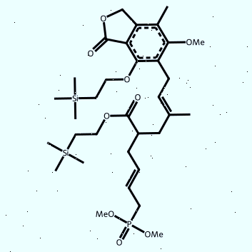 COc1c(C)c2c(c(OCC[Si](C)(C)C)c1C/C=C(\C)CC(C/C=C/CP(=O)(OC)OC)C(=O)OCC[Si](C)(C)C)C(=O)OC2